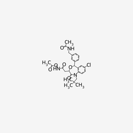 CC(=O)NCc1cccc(C2OC(CC(=O)NOC(C)=O)C(=O)N(CC(C)(C)C)c3ccc(Cl)cc32)c1